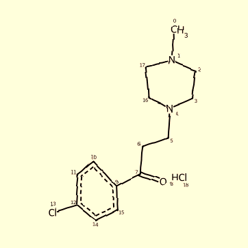 CN1CCN(CCC(=O)c2ccc(Cl)cc2)CC1.Cl